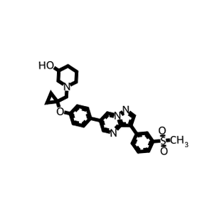 CS(=O)(=O)c1cccc(-c2cnn3cc(-c4ccc(OC5(CN6CCCC(O)C6)CC5)cc4)cnc23)c1